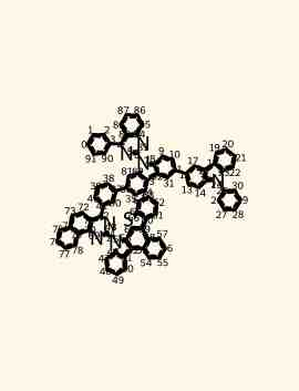 c1ccc(-c2nc(-n3c4ccc(-c5ccc6c(c5)c5ccccc5n6-c5ccccc5)cc4c4ccc(-c5cccc(-c6nc(-n7c8ccccc8c8c9ccccc9c9c%10ccccc%10sc9c87)nc7c6ccc6ccccc67)c5)cc43)nc3ccccc23)cc1